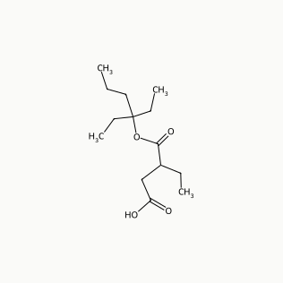 CCCC(CC)(CC)OC(=O)C(CC)CC(=O)O